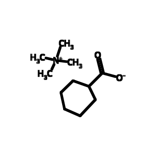 C[N+](C)(C)C.O=C([O-])C1CCCCC1